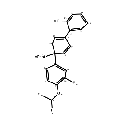 CCCCCC1(c2ccc(OC(F)F)c(F)c2)C=CC(c2ccccc2F)=CC1